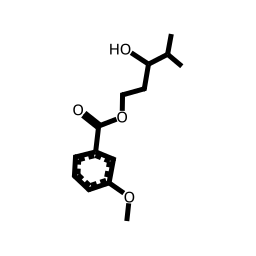 COc1cccc(C(=O)OCCC(O)C(C)C)c1